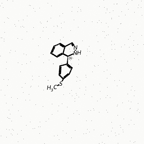 CSc1ccc([C@@H]2NN=Cc3ccccc32)cc1